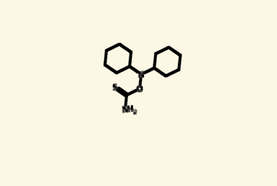 NC(=S)ON(C1CCCCC1)C1CCCCC1